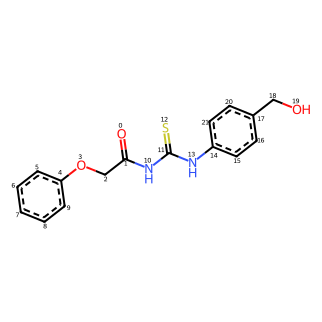 O=C(COc1ccccc1)NC(=S)Nc1ccc(CO)cc1